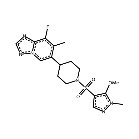 COc1c(S(=O)(=O)N2CCC(c3cn4ncnc4c(F)c3C)CC2)cnn1C